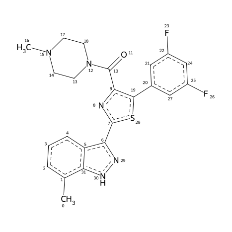 Cc1cccc2c(-c3nc(C(=O)N4CCN(C)CC4)c(-c4cc(F)cc(F)c4)s3)n[nH]c12